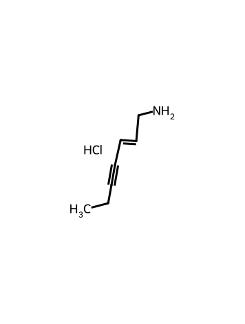 CCC#C/C=C/CN.Cl